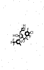 Cc1cc(C(F)(F)F)cc(N2C(O)N(CC3CNC3)C[C@H]2C(=O)N(C)c2ccc(F)c(Cl)c2F)n1